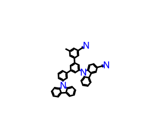 Cc1cc(C#N)cc(-c2cc(-c3cccc(-n4c5ccccc5c5ccccc54)c3)cc(-n3c4ccccc4c4cc(C#N)ccc43)c2)c1